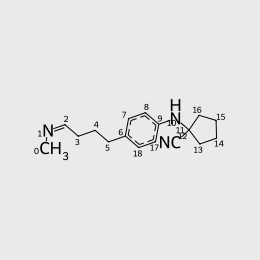 C/N=C\CCCc1ccc(NC2(C#N)CCCC2)cc1